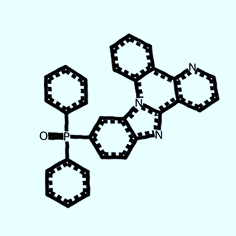 O=P(c1ccccc1)(c1ccccc1)c1ccc2nc3c4cccnc4c4ccccc4n3c2c1